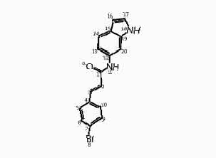 O=C(/C=C/c1ccc(Br)cc1)Nc1ccc2cc[nH]c2c1